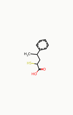 CC(CC(S)C(=O)O)c1ccccc1